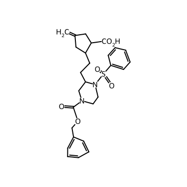 C=C1CC(CCC2CN(C(=O)OCc3ccccc3)CCN2S(=O)(=O)c2ccccc2)C(C(=O)O)C1